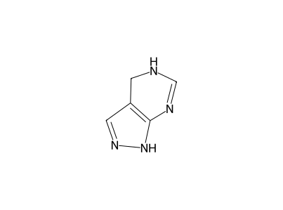 C1=Nc2[nH]ncc2CN1